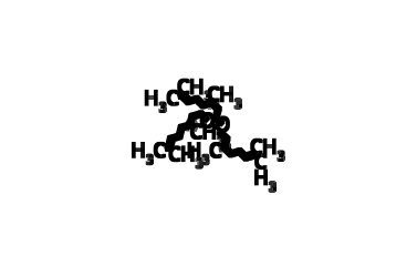 CC(C)=CCC[C@H](C)CCOC(C[C@H](C)CCC=C(C)C)OCC[C@@H](C)CCC=C(C)C